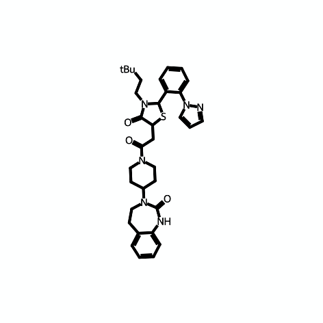 CC(C)(C)CCN1C(=O)C(CC(=O)N2CCC(N3CCc4ccccc4NC3=O)CC2)SC1c1ccccc1-n1cccn1